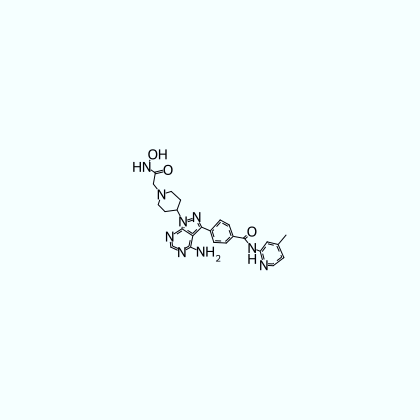 Cc1ccnc(NC(=O)c2ccc(-c3nn(C4CCN(CC(=O)NO)CC4)c4ncnc(N)c34)cc2)c1